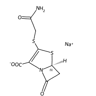 NC(=O)CSC1=C(C(=O)[O-])N2C(=O)C[C@@H]2S1.[Na+]